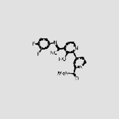 CNC(=O)c1cc(-c2nccc(/C(C#N)=N/c3ccc(F)c(F)c3)c2O)ccn1